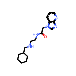 O=C(Cn1cnc2ncccc21)NCCNCC1CCCCC1